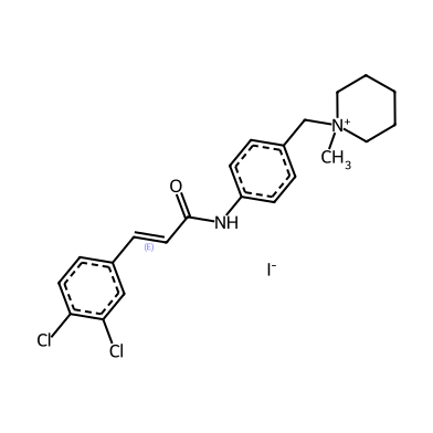 C[N+]1(Cc2ccc(NC(=O)/C=C/c3ccc(Cl)c(Cl)c3)cc2)CCCCC1.[I-]